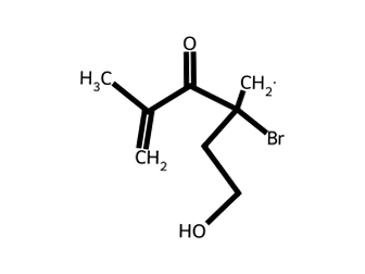 [CH2]C(Br)(CCO)C(=O)C(=C)C